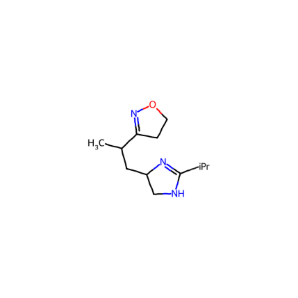 CC(C)C1=NC(CC(C)C2=NOCC2)CN1